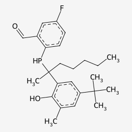 CCCCCC(C)(Pc1ccc(F)cc1C=O)c1cc(C(C)(C)C)cc(C)c1O